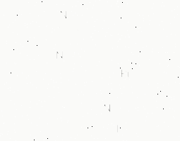 Cc1cc(C(C)C(C)c2cnccc2CCc2nc(F)ccc2C(C)C)ccn1